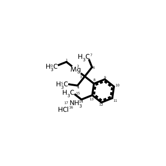 C[CH2][Mg][C](CC)(CC)c1ccccc1CC.Cl.N